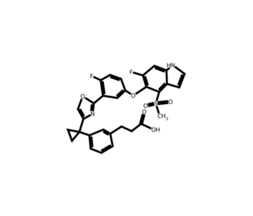 CS(=O)(=O)c1c(Oc2ccc(F)c(-c3nc(C4(c5cccc(CCC(=O)O)c5)CC4)co3)c2)c(F)cc2[nH]ccc12